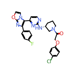 O=C(COc1ccc(Cl)cc1)N1CCC[C@@H](Nc2nccc(-c3c(-c4ccc(F)cc4)nc4occn34)n2)C1